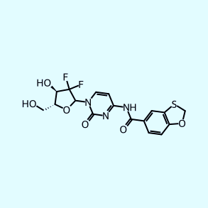 O=C(Nc1ccn(C2O[C@H](CO)[C@@H](O)C2(F)F)c(=O)n1)c1ccc2c(c1)SCO2